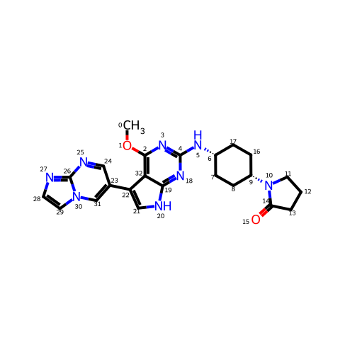 COc1nc(N[C@H]2CC[C@@H](N3CCCC3=O)CC2)nc2[nH]cc(-c3cnc4nccn4c3)c12